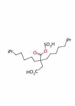 CC(C)CCCCCC(CCCCCC(C)C)(CC(=O)O)C(=O)OS(=O)(=O)O